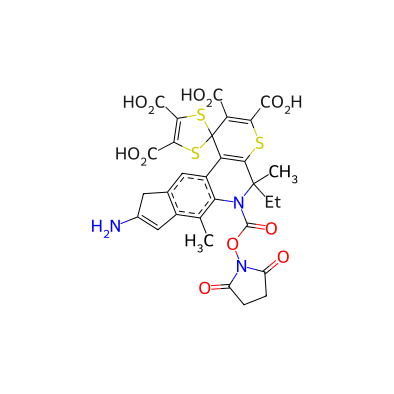 CCC1(C)C2=C(c3cc4c(c(C)c3N1C(=O)ON1C(=O)CCC1=O)C=C(N)C4)C1(SC(C(=O)O)=C(C(=O)O)S1)C(C(=O)O)=C(C(=O)O)S2